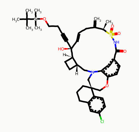 C=C1C/C=C/[C@@](O)(C#CCCO[Si](C)(C)C(C)(C)C)[C@@H]2CC[C@H]2CN2C[C@@]3(CCCc4cc(Cl)ccc43)COc3ccc(cc32)C(=O)NS(=O)(=O)[C@@H]1C